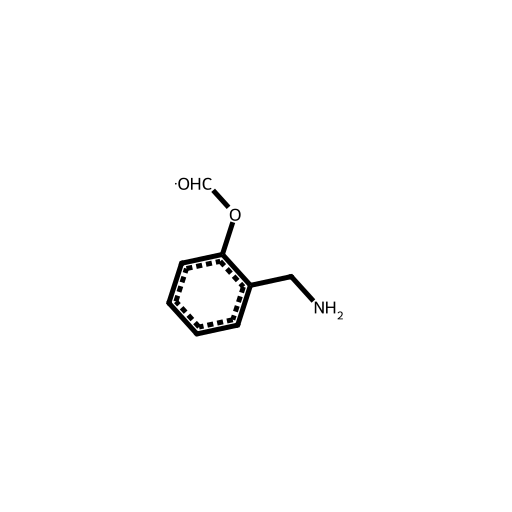 NCc1ccccc1O[C]=O